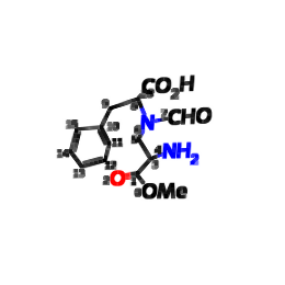 COC(=O)C(N)CN(C=O)C(Cc1ccccc1)C(=O)O